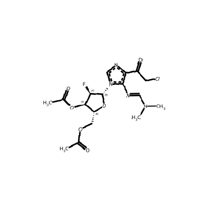 CC(=O)OC[C@H]1O[C@@H](n2cnc(C(=O)CCl)c2N=CN(C)C)[C@H](F)[C@@H]1OC(C)=O